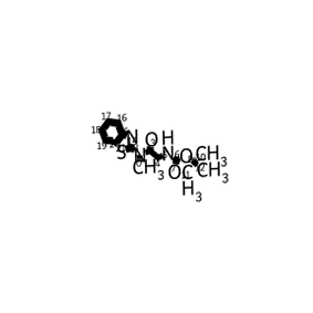 CN(C(=O)CNC(=O)OC(C)(C)C)c1nc2ccccc2s1